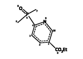 CCOC(=O)c1ccc(P(C)(C)=O)nc1